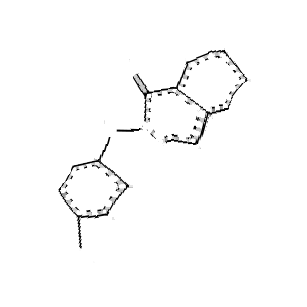 Cc1ccc(Sn2ncc3ccccc3c2=O)cc1